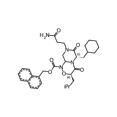 CC(C)C[C@H]1ON(C(=O)OCc2cccc3ccccc23)C2CN(CCC(N)=O)C(=O)[C@H](CC3CCCCC3)N2C1=O